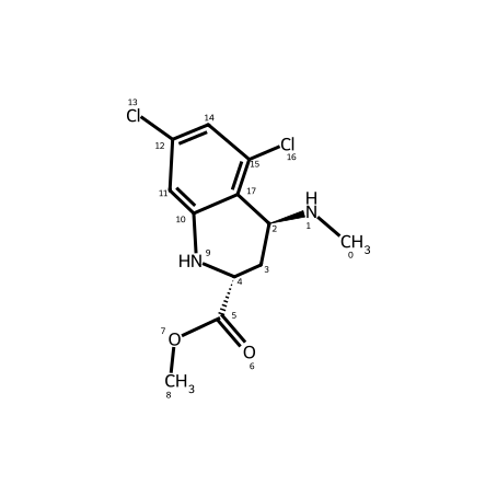 CN[C@H]1C[C@H](C(=O)OC)Nc2cc(Cl)cc(Cl)c21